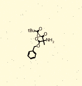 CC(C)(C)C(=O)OC(=O)C(C)(N)C(=O)OCc1ccccc1